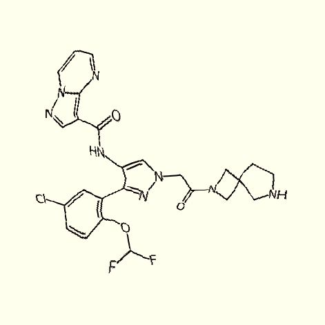 O=C(Nc1cn(CC(=O)N2CC3(CCNC3)C2)nc1-c1cc(Cl)ccc1OC(F)F)c1cnn2cccnc12